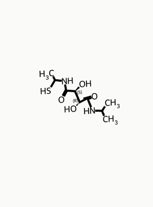 CC(C)NC(=O)[C@H](O)[C@H](O)C(=O)NC(C)S